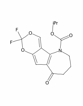 CC(C)OC(=O)N1CCCC(=O)C2=C1C1=COC(F)(F)OC1=C2